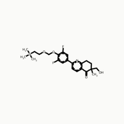 CC1(CO)CCc2nc(-c3cc(F)c(OCOCC[Si](C)(C)C)c(F)c3)ccc2C1=O